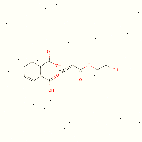 C=CC(=O)OCCO.O=C(O)C1C=CCCC1C(=O)O